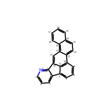 c1cnc2c(c1)-c1cccc3c1c-2cc1c2ccccc2ccc31